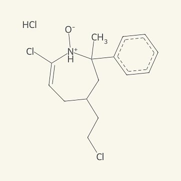 CC1(c2ccccc2)CC(CCCl)CC=C(Cl)[NH+]1[O-].Cl